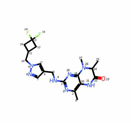 Cc1nc(NCc2cnn(CC3CC(F)(F)C3)c2)nc2c1NC(=O)C(C)N2C